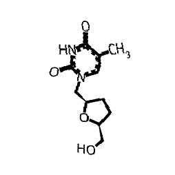 Cc1cn(C[C@H]2CC[C@@H](CO)O2)c(=O)[nH]c1=O